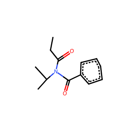 CCC(=O)N(C(=O)c1ccccc1)C(C)C